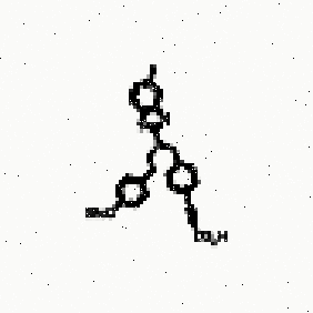 COc1ccc(CCN(Cc2ccc(C#CC(=O)O)cc2)c2nc3cc(C)ccc3s2)cc1